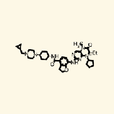 CC[C@@H]1C(=O)N(C)c2cnc(Nc3ccc(C(=O)N[C@H]4CC[C@H](N5CCN(CC6CC6)CC5)CC4)c4c3OCC4)nc2N1C1CCCC1